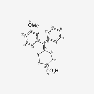 COc1cc(C(=C2CCN(C(=O)O)CC2)c2ccccc2)ccn1